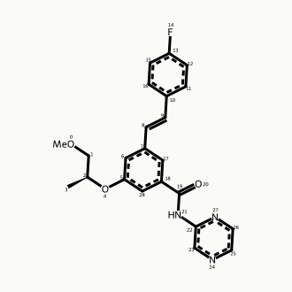 COC[C@H](C)Oc1cc(C=Cc2ccc(F)cc2)cc(C(=O)Nc2cnccn2)c1